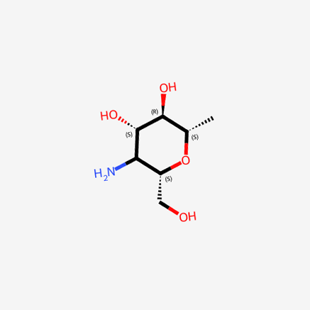 C[C@@H]1O[C@H](CO)C(N)[C@H](O)[C@H]1O